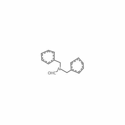 O=[CH][Al]([CH2]c1ccccc1)[CH2]c1ccccc1